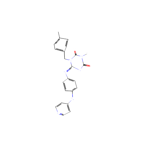 CCn1c(=O)[nH]/c(=N\c2ccc(Nc3ccncc3)cc2)n(Cc2ccc(C)cc2)c1=O